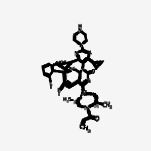 C=CC(=O)N1C[C@H](C)N(c2nc(=O)n(-c3c(C4CC4)nc(N4CCNCC4)nc3C3CC3)c3nc(-c4c(N)cccc4F)c(F)cc23)C[C@H]1C